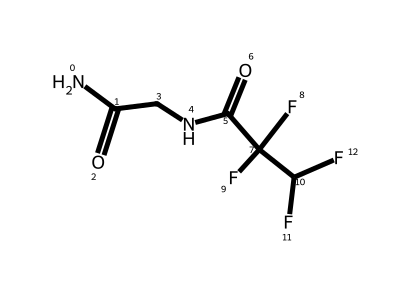 NC(=O)CNC(=O)C(F)(F)C(F)F